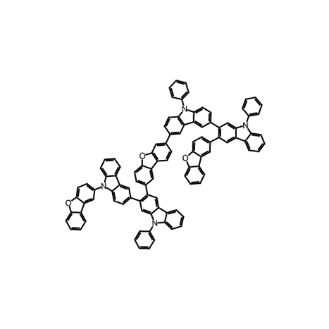 c1ccc(-n2c3ccc(-c4ccc5c(c4)oc4ccc(-c6cc7c8ccccc8n(-c8ccccc8)c7cc6-c6ccc7c(c6)c6ccccc6n7-c6ccc7oc8ccccc8c7c6)cc45)cc3c3cc(-c4cc5c(cc4-c4ccc6oc7ccccc7c6c4)c4ccccc4n5-c4ccccc4)ccc32)cc1